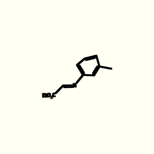 CCOC(=O)C=Nc1cccc(C)c1